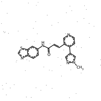 Cn1cc(-c2ccncc2C=CC(=O)Nc2ccc3ncsc3c2)cn1